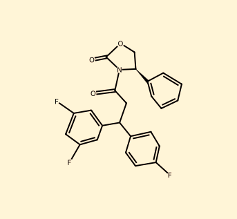 O=C(CC(c1ccc(F)cc1)c1cc(F)cc(F)c1)N1C(=O)OC[C@H]1c1ccccc1